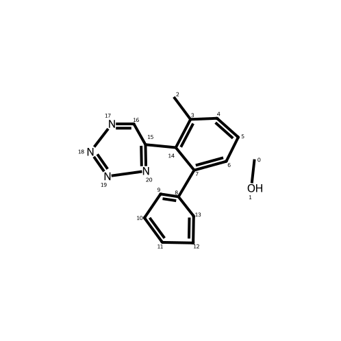 CO.Cc1cccc(-c2ccccc2)c1-c1cnnnn1